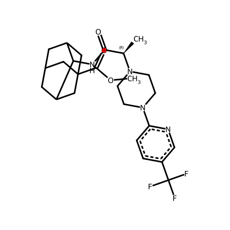 COC(=O)C12CC3CC(C1)C(NC(=O)[C@@H](C)N1CCN(c4ccc(C(F)(F)F)cn4)CC1)C(C3)C2